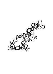 CNC(=O)COc1cc2cc(Nc3nc(N4CCC(OC5CC(N6CCC(O)(c7ccc8c(c7F)CN(C7CCC(=O)NC7=O)C8=O)CC6)C5)CC4)ncc3Cl)ccc2n(C(C)C)c1=O